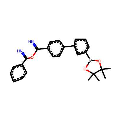 CC1(C)OB(c2cccc(-c3ccc(C(=N)OC(=N)c4ccccc4)cc3)c2)OC1(C)C